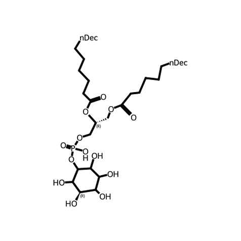 CCCCCCCCCCCCCCCC(=O)OC[C@H](COP(=O)(O)OC1C(O)C(O)C(O)[C@@H](O)C1O)OC(=O)CCCCCCCCCCCCCCC